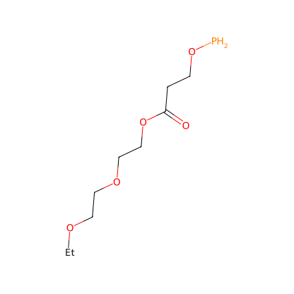 CCOCCOCCOC(=O)CCOP